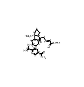 COC(=O)C=NCC(=O)N1CCC[C@]1(C(=O)O)C1CCCCC1.N=C(N)c1ccc(C(N)=O)cn1